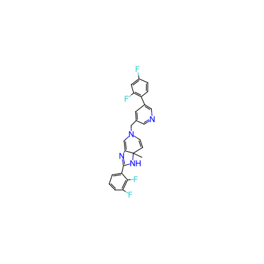 CC12C=CN(Cc3cncc(-c4ccc(F)cc4F)c3)C=C1N=C(c1cccc(F)c1F)N2